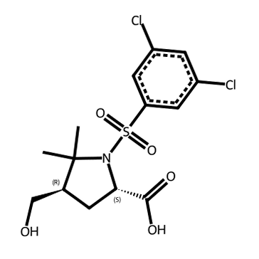 CC1(C)[C@H](CO)C[C@@H](C(=O)O)N1S(=O)(=O)c1cc(Cl)cc(Cl)c1